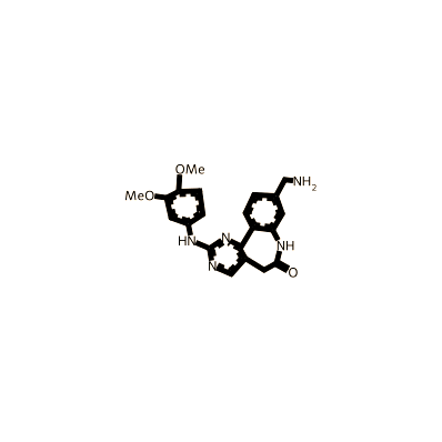 COc1ccc(Nc2ncc3c(n2)-c2ccc(CN)cc2NC(=O)C3)cc1OC